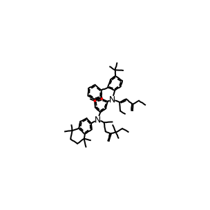 C=C(/C=C(\CC)N(c1cc(C)cc(N(c2ccc3c(c2)C(C)(C)CCC3(C)C)C(C)CC(=C)C(C)(C)CC)c1)c1ccc(C(C)(C)C)cc1-c1ccccc1)CC